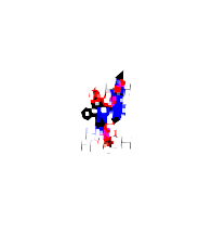 COc1ccc2c(c1)C=C(c1c(C(=O)N3C[C@@H]4C[C@H]3CN4CC3CC3)cnn1C1CCC1)Cn1c-2c(C2CCCCC2)c2ccc(C(=O)NS(=O)(=O)C(C)C)cc21